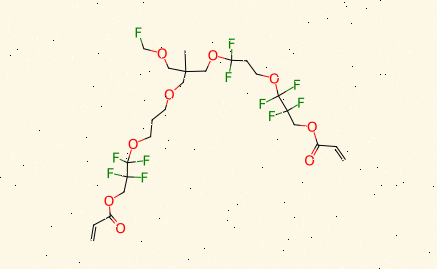 C=CC(=O)OCC(F)(F)C(F)(F)OCCCOCC(C)(COCF)COC(F)(F)CCOC(F)(F)C(F)(F)COC(=O)C=C